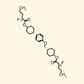 CCC[C@@H](F)C(=O)O[C@H]1CC[C@H](COc2ccc([C@H]3CC[C@H](OC(=O)[C@H](F)CCC)CC3)cc2)CC1